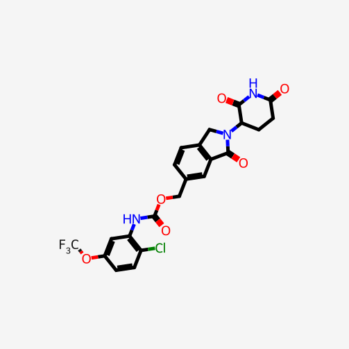 O=C1CCC(N2Cc3ccc(COC(=O)Nc4cc(OC(F)(F)F)ccc4Cl)cc3C2=O)C(=O)N1